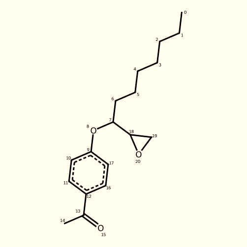 CCCCCCCC(Oc1ccc(C(C)=O)cc1)C1CO1